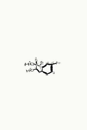 CCOP(=O)(O)C(O)=Cc1ccc(F)cc1